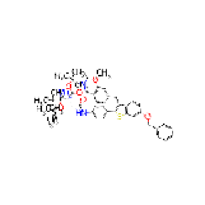 COc1cc(Cc2c(-c3ccc(NC(=O)C[C@@H](C(=O)OC(C)(C)C)C(N)(O[SiH](C)C)C(C)(C)C)cc3)sc3cc(OCc4ccccc4)ccc23)ccc1CN1CCCC1